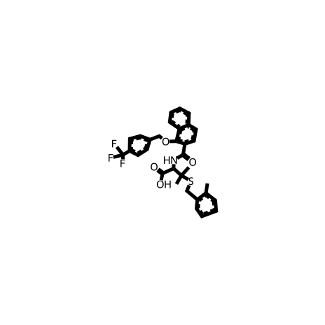 Cc1ccccc1CSC(C)(C)C(NC(=O)c1ccc2ccccc2c1OCc1ccc(C(F)(F)F)cc1)C(=O)O